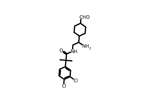 CC(C)(C(=O)NCC(N)C1CCC(C=O)CC1)c1ccc(Cl)c(Cl)c1